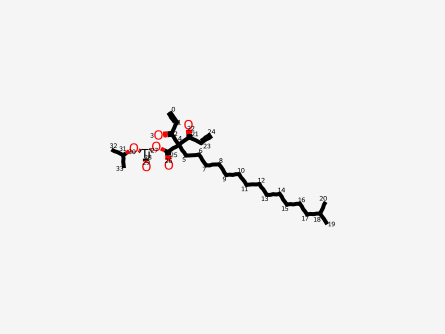 C=CC(=O)C(CCCCCCCCCCCCCC(C)C)(C(=O)C=C)C(=O)[O][Ti](=[O])[O]C(C)C